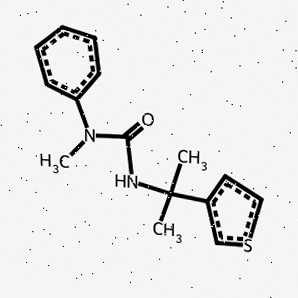 CN(C(=O)NC(C)(C)c1ccsc1)c1ccccc1